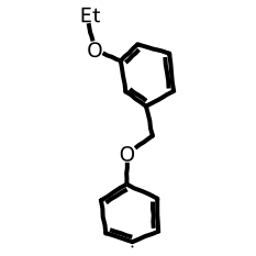 CCOc1cccc(COc2cc[c]cc2)c1